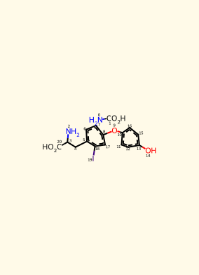 NC(=O)O.NC(Cc1ccc(Oc2ccc(O)cc2)cc1I)C(=O)O